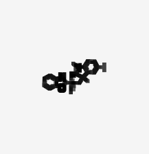 CN1CC(C)(CC(F)(F)c2nc3ccccc3o2)c2cc(I)ccc21